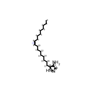 CCCCCCCC/C=C\CCCCCCCCc1[nH]nnc1N